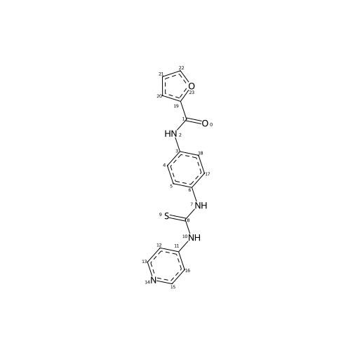 O=C(Nc1ccc(NC(=S)Nc2ccncc2)cc1)c1ccco1